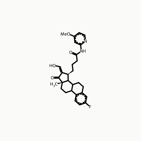 COc1ccnc(NC(=O)CCC[C@@H]2/C(=C/O)C(=O)[C@@]3(C)CCC4c5ccc(F)cc5CCC4C23)c1